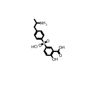 CC(N)Cc1ccc(S(=O)(=O)c2ccc(O)c(C(=O)O)c2)cc1.Cl